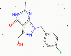 Cc1nc2c(c(CO)nn2Cc2ccc(F)cc2)c(=O)[nH]1